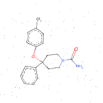 NC(=O)N1CCC(Oc2ccc(C(F)(F)F)cc2)(c2ccccc2)CC1